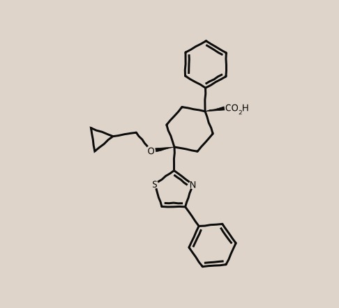 O=C(O)[C@]1(c2ccccc2)CC[C@@](OCC2CC2)(c2nc(-c3ccccc3)cs2)CC1